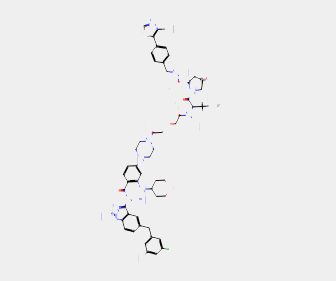 Cc1ncsc1-c1ccc(CNC(=O)[C@@H]2C[C@@H](O)CN2C(=O)C(NC(=O)COCC(=O)N2CCN(c3ccc(C(=O)Nc4n[nH]c5ccc(Cc6cc(F)cc(F)c6)cc45)c(NC4CCOCC4)c3)CC2)C(C)(C)C)cc1